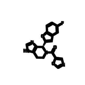 O=C(c1cnco1)N1CCc2[nH]cnc2[C@@H]1c1cc2cc(F)ccc2o1